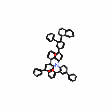 c1ccc(-c2ccc(N(c3ccc(-c4ccc(-c5cccc6ccccc56)c(-c5ccccc5)c4)cc3)c3ccc(-c4ccccc4)cc3-c3ccccc3)c(-c3ccccc3)c2)cc1